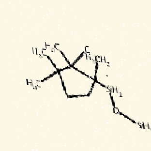 CC1(C)CCC(C)([SiH2]O[SiH3])C1(C)C